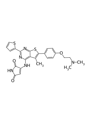 Cc1c(-c2ccc(OCCN(C)C)cc2)sc2nc(-c3cccs3)nc(NC3=CC(=O)NC3=O)c12